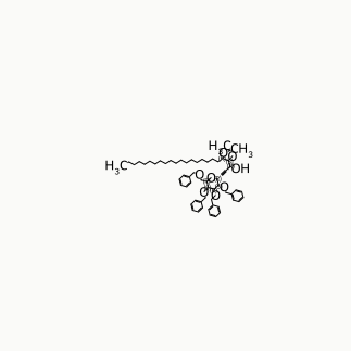 CCCCCCCCCCCCCCCCCCC[C@H]1OC(C)(C)O[C@H]1[C@H](O)C#C[C@H]1O[C@H](COCc2ccccc2)[C@H](OCc2ccccc2)[C@H](OCc2ccccc2)[C@H]1OCc1ccccc1